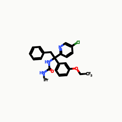 CC(C)NC(=O)NC(Cc1ccccc1)(c1cccc(OCC(F)(F)F)c1)c1ccc(Cl)cn1